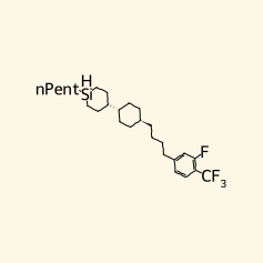 CCCCC[SiH]1CCC([C@H]2CC[C@H](CCCCc3ccc(C(F)(F)F)c(F)c3)CC2)CC1